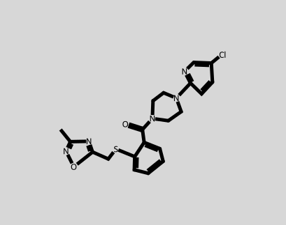 Cc1noc(CSc2ccccc2C(=O)N2CCN(c3ccc(Cl)cn3)CC2)n1